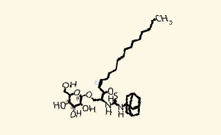 CCCCCCCCCCCCC/C=C\C(O)C(CO[C@@H]1OC(CO)[C@@H](O)[C@@H](O)C1O)NC(=S)NC12CC3CC(CC(C3)C1)C2